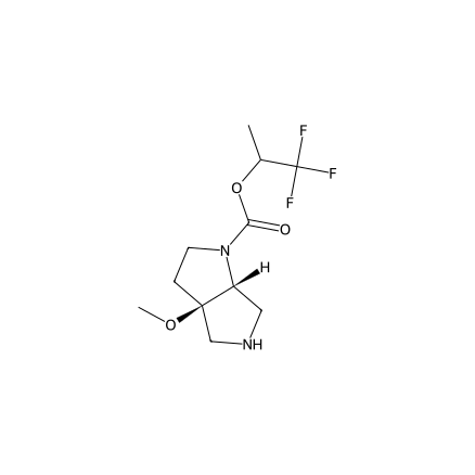 CO[C@@]12CCN(C(=O)OC(C)C(F)(F)F)[C@@H]1CNC2